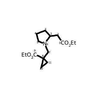 CCOC(=O)CC1CCCN1CC1(C(=O)OCC)CC1